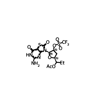 CCC(OC(C)=O)[C@@H]1C[C@H](OS(=O)(=O)C(F)(F)F)[C@H](n2c(=O)sc3c(=O)[nH]c(N)nc32)O1